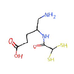 NCC(CCC(=O)O)NC(=O)C(S)S